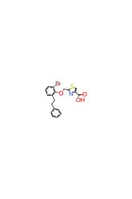 O=C(O)c1csc(COc2c(Br)cccc2CCc2ccccc2)n1